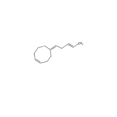 CC=CCC=C1CCC=CCCC1